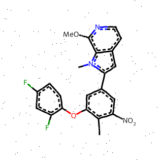 COc1nccc2cc(-c3cc(Oc4ccc(F)cc4F)c(C)c([N+](=O)[O-])c3)n(C)c12